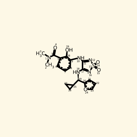 CN(C)C(=O)c1cccc(NC2=NS(=O)(=O)N=C2N[C@@H](c2ccco2)C2CC2)c1O